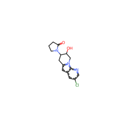 O=C1CCCN1C1Cc2cc3cc(Cl)cnc3n2CC1O